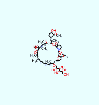 CO[C@@H]1C[C@H](C[C@@H](C)[C@@H]2CC(=O)[C@H](C)/C=C(\C)[C@@H](O)[C@@H](OC)C(=O)[C@H](C)C[C@H](C)/C=C/C=C/C=C(\C)C(OCC(O)C(O)C(O)C(O)CO)C[C@@H]3CC[C@@H](C)[C@@](O)(O3)C(=O)C(=O)N3CCCC[C@H]3C(=O)O2)CC[C@H]1O